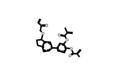 C=CC(=O)COC1CCc2ccc(-c3ccc(OC(=O)C(=C)C)c(OC(=O)C(=C)C)c3)cc21